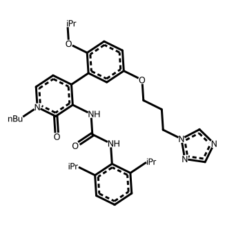 CCCCn1ccc(-c2cc(OCCCn3cncn3)ccc2OC(C)C)c(NC(=O)Nc2c(C(C)C)cccc2C(C)C)c1=O